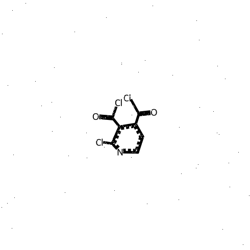 O=C(Cl)c1ccnc(Cl)c1C(=O)Cl